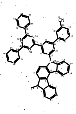 CC1c2ccccc2-c2c1ccc1c2c2ccccc2n1-c1cc(-c2cccc(C#N)c2)cc(-c2nc(-c3ccccc3)nc(-c3ccccc3)n2)c1